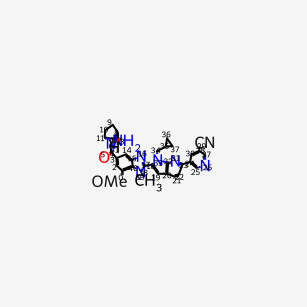 COc1cc(C(=O)N2CC3CCC2[C@@H]3N)cc2nc(-c3cc4ccc(-c5cncc(C#N)c5)nc4n3CC3CC3)n(C)c12